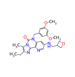 CCc1nc2c3ncc(NCC4COC4)cc3n(Cc3cc(OC)cc(OC)c3)c(=O)n2c1C